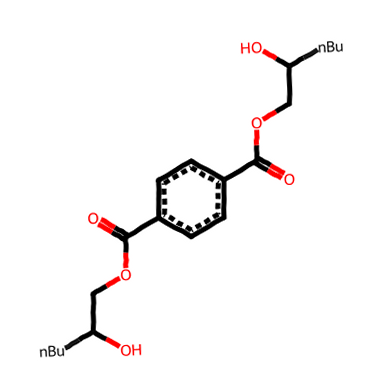 CCCCC(O)COC(=O)c1ccc(C(=O)OCC(O)CCCC)cc1